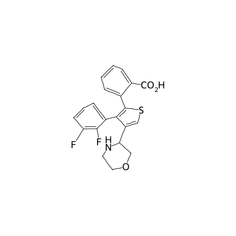 O=C(O)c1ccccc1-c1scc(C2COCCN2)c1-c1cccc(F)c1F